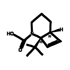 CC(C)(C)[C@]12C=C[C@H]1CCCN2C(=O)O